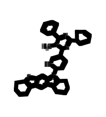 CN1C(c2ccccc2)=NC(C2C=CC=CC2)=NC1C1=CNC(n2c3c(c4cc5c6c(sc5cc42)CCC=C6)C=CCC3)C=C1